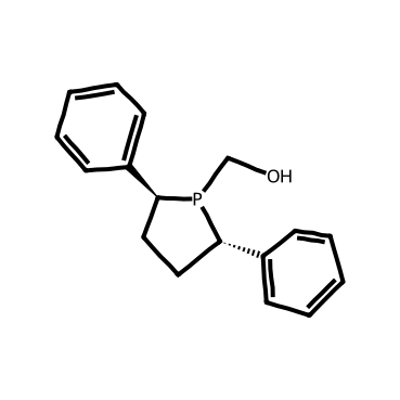 OCP1[C@H](c2ccccc2)CC[C@H]1c1ccccc1